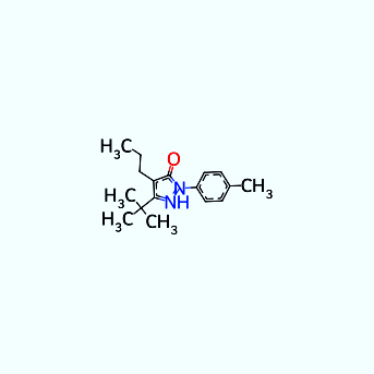 CCCc1c(C(C)(C)C)[nH]n(-c2ccc(C)cc2)c1=O